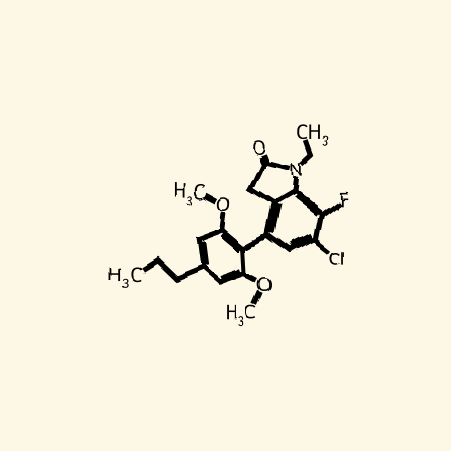 CCCc1cc(OC)c(-c2cc(Cl)c(F)c3c2CC(=O)N3CC)c(OC)c1